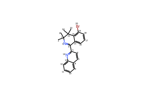 CC1(C)N=C(c2ccc3ccccc3n2)c2cccc(Br)c2C1(C)C